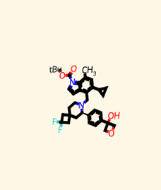 Cc1cc(C2CC2)c(CN2CCC3(C[C@@H]2c2ccc(C4(O)COC4)cc2)CC(F)(F)C3)c2ccn(C(=O)OC(C)(C)C)c12